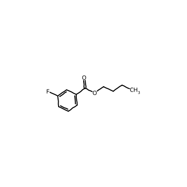 CCCCOC(=O)c1cccc(F)c1